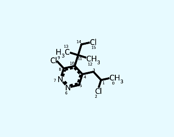 CC(Cl)Cc1cnnc(Cl)c1C(C)(C)CCl